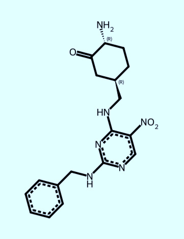 N[C@@H]1CC[C@@H](CNc2nc(NCc3ccccc3)ncc2[N+](=O)[O-])CC1=O